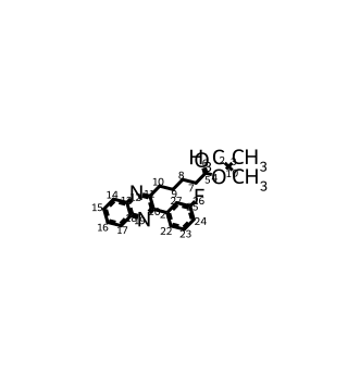 CC(C)(C)OC(=O)CCCCc1nc2ccccc2nc1-c1cccc(F)c1